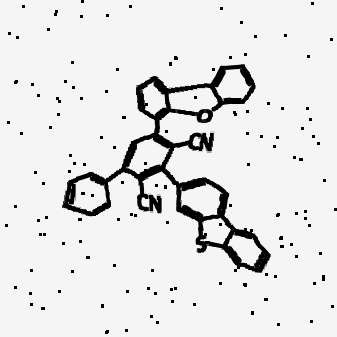 N#Cc1c(-c2ccccc2)cc(-c2cccc3c2oc2ccccc23)c(C#N)c1-c1ccc2c(c1)sc1ccccc12